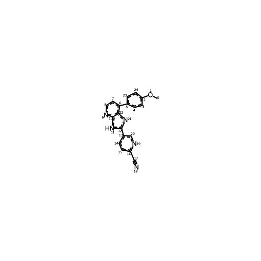 COc1ccc(-c2ccnc3[nH]c(-c4ccc(C#N)nc4)nc23)cc1